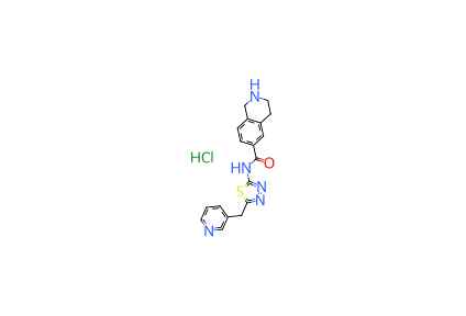 Cl.O=C(Nc1nnc(Cc2cccnc2)s1)c1ccc2c(c1)CCNC2